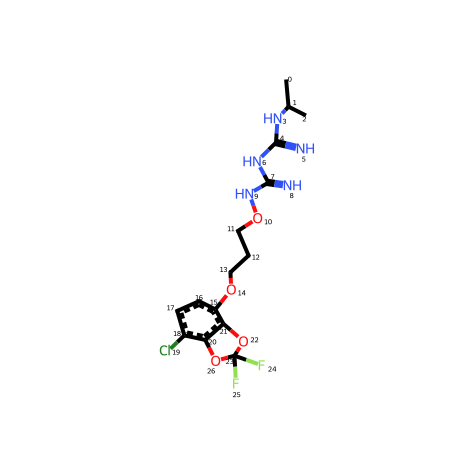 CC(C)NC(=N)NC(=N)NOCCCOc1ccc(Cl)c2c1OC(F)(F)O2